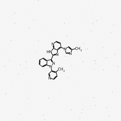 Cc1cn(-c2ccnc3[nH]c(-c4nn(-c5cnccc5C)c5ccccc45)nc23)cn1